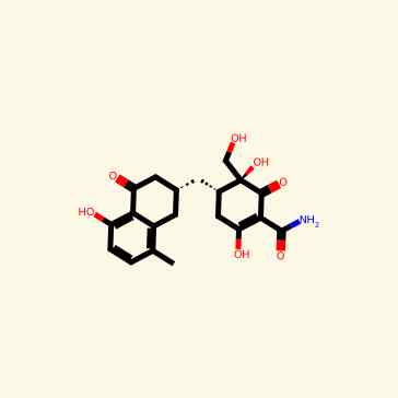 Cc1ccc(O)c2c1C[C@@H](C[C@H]1CC(O)=C(C(N)=O)C(=O)[C@@]1(O)CO)CC2=O